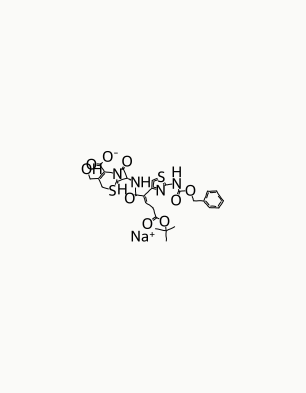 CC(C)(C)OC(=O)CC=C(C(=O)N[C@@H]1C(=O)N2C(C(=O)[O-])=C(CO)CS[C@@H]12)c1csc(NC(=O)OCc2ccccc2)n1.[Na+]